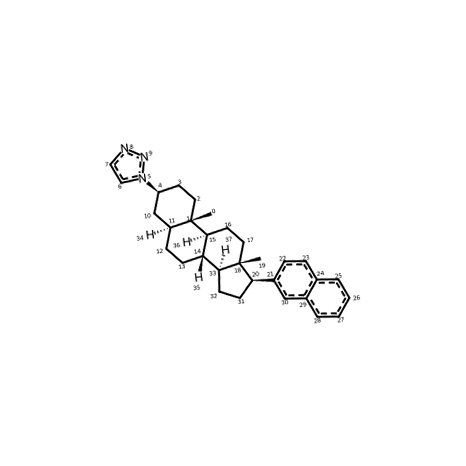 C[C@]12CC[C@H](n3ccnn3)C[C@@H]1CC[C@@H]1[C@@H]2CC[C@]2(C)[C@@H](c3ccc4ccccc4c3)CC[C@@H]12